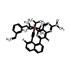 C=Cc1cccc(CCNc2nc(-c3cccc4ccc(F)c(C#C[Si](C(C)C)(C(C)C)C(C)C)c34)c(F)c3nc([S+](C)[O-])ncc23)c1